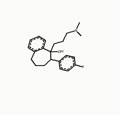 CN(C)CCCC1(O)c2ccccc2CCCC1c1ccc(F)cc1